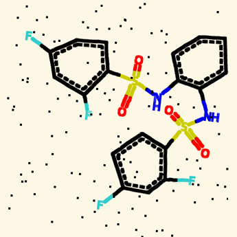 O=S(=O)(Nc1ccccc1NS(=O)(=O)c1ccc(F)cc1F)c1ccc(F)cc1F